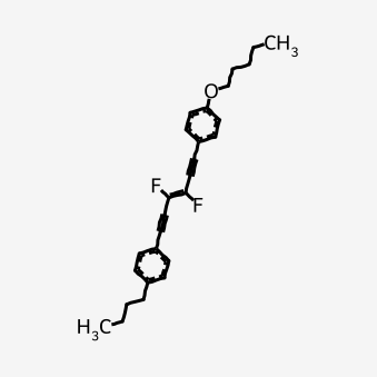 CCCCCOc1ccc(C#C/C(F)=C(\F)C#Cc2ccc(CCCC)cc2)cc1